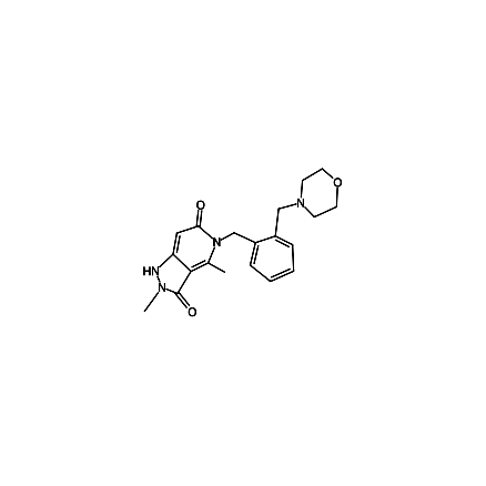 Cc1c2c(=O)n(C)[nH]c2cc(=O)n1Cc1ccccc1CN1CCOCC1